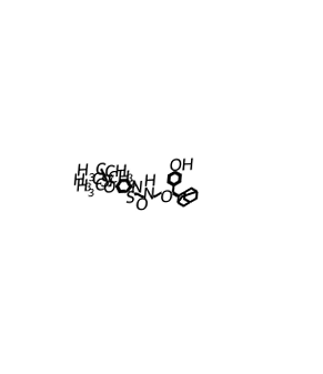 CC(C)(C)[Si](C)(C)Oc1ccc2nc(C(=O)NCCOC(=C3C4CC5CC(C4)CC3C5)c3ccc(O)cc3)sc2c1